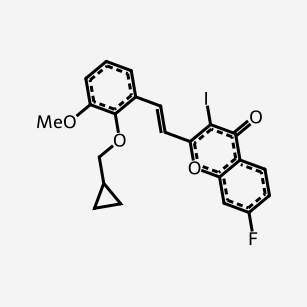 COc1cccc(C=Cc2oc3cc(F)ccc3c(=O)c2I)c1OCC1CC1